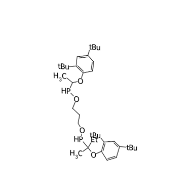 CCC(C)(Oc1ccc(C(C)(C)C)cc1C(C)(C)C)POCCCOPC(C)Oc1ccc(C(C)(C)C)cc1C(C)(C)C